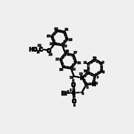 CCS(=O)(=O)Cc1nc2ccccc2n1Cc1ccc(-c2ccccc2OC(=O)O)cc1